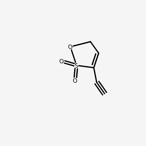 C#CC1=CCOS1(=O)=O